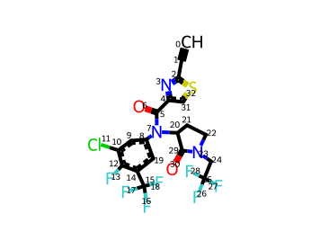 C#Cc1nc(C(=O)N(c2cc(Cl)c(F)c(C(F)(F)F)c2)C2CCN(CC(F)(F)F)C2=O)cs1